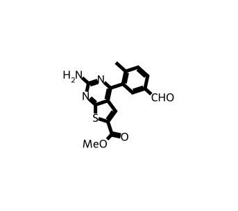 COC(=O)c1cc2c(-c3cc(C=O)ccc3C)nc(N)nc2s1